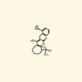 CC(C)(O)C1CCCCCc2c1oc(=O)c(Cc1ccccc1C1CC1)c2O